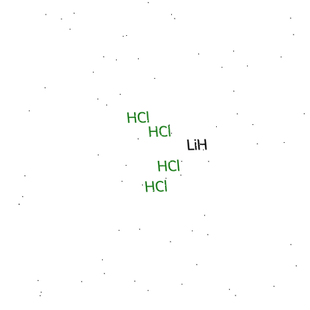 Cl.Cl.Cl.Cl.[LiH]